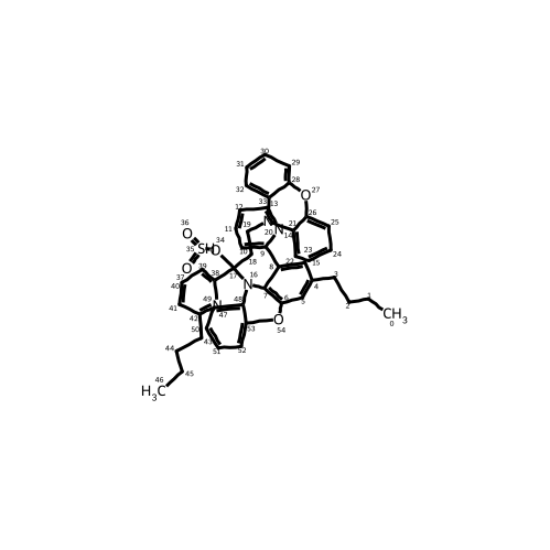 CCCCc1cc2c(c(-c3ccccn3)c1)N(C(CCN1c3ccccc3Oc3ccccc31)(O[SH](=O)=O)c1cccc(CCCC)n1)c1ccccc1O2